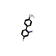 Cc1ccc(-c2ccc(I)cc2I)cc1